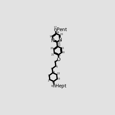 CCCCCCCC1CCC(CCCOc2ccc(-c3ncc(CCCCC)cn3)cc2)CC1